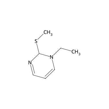 CCN1C=CC=NC1SC